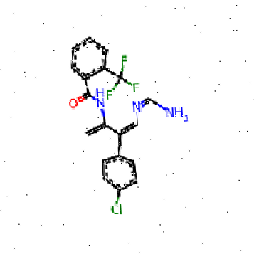 C=C(NC(=O)c1ccccc1C(F)(F)F)/C(=C\N=C/N)c1ccc(Cl)cc1